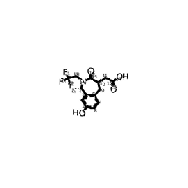 C[C@H]1c2cc(O)ccc2CC(CC(=O)O)C(=O)N1CC(F)(F)F